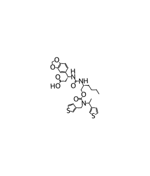 CCCC[C@@H](COC(=O)N(Cc1ccsc1)C(C)c1ccsc1)NC(=O)N[C@@H](CC(=O)O)c1ccc2c(c1)OCO2